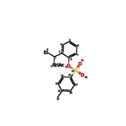 CCC(NC(C)=O)c1ccccc1OS(=O)(=O)c1ccc(C)cc1